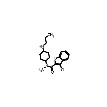 CCCNC1CCC(N(C)C(=O)c2sc3ccccc3c2Cl)CC1